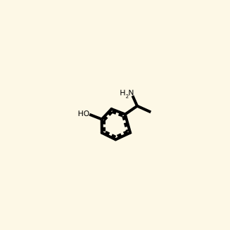 CC(N)c1cccc(O)c1